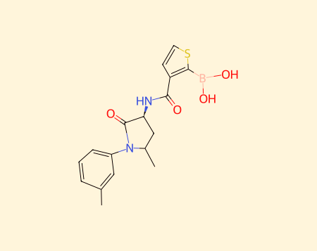 Cc1cccc(N2C(=O)[C@@H](NC(=O)c3ccsc3B(O)O)CC2C)c1